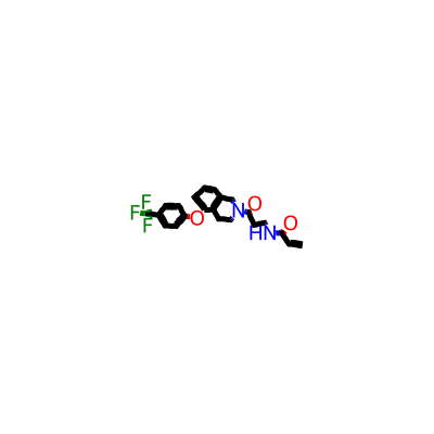 C=CC(=O)NCCC(=O)N1CCc2c(cccc2Oc2ccc(C(F)(F)F)cc2)C1